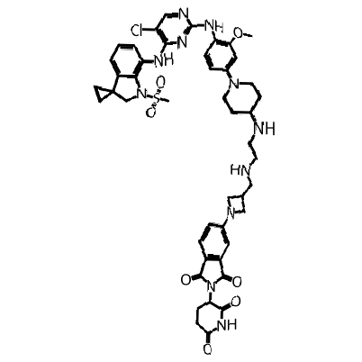 COc1cc(N2CCC(NCCNCC3CN(c4ccc5c(c4)C(=O)N(C4CCC(=O)NC4=O)C5=O)C3)CC2)ccc1Nc1ncc(Cl)c(Nc2cccc3c2N(S(C)(=O)=O)CC32CC2)n1